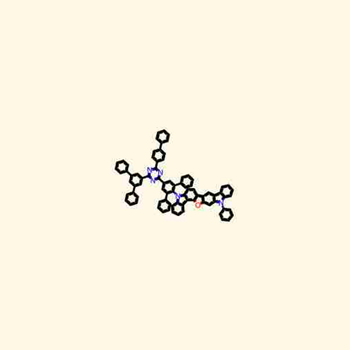 c1ccc(-c2ccc(-c3nc(-c4cc(-c5ccccc5)cc(-c5ccccc5)c4)nc(-c4cc(-c5ccccc5)c(-n5c6ccccc6c6c7oc8cc9c(cc8c7ccc65)c5ccccc5n9-c5ccccc5)c(-c5ccccc5)c4)n3)cc2)cc1